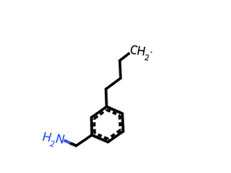 [CH2]CCCc1cccc(CN)c1